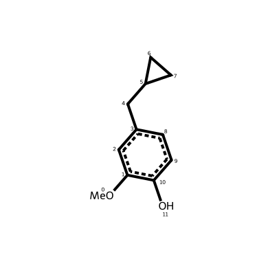 COc1cc(CC2CC2)ccc1O